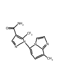 Cc1ccc(-n2ncc(C(N)=O)c2C(F)(F)F)n2ccnc12